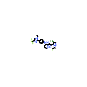 CCn1cc(C(F)(F)F)nc1-c1ccc(NC2CCCn3nc(-c4c(Cl)cnn4[C@H](C)CF)cc32)cc1